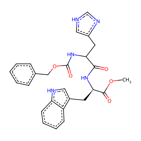 COC(=O)[C@@H](Cc1c[nH]c2ccccc12)NC(=O)C(Cc1c[nH]cn1)NC(=O)OCc1ccccc1